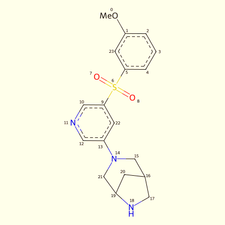 COc1cccc(S(=O)(=O)c2cncc(N3CC4CNC(C4)C3)c2)c1